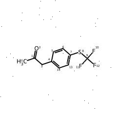 CC(=O)Cc1ccc(SC(F)(F)F)cc1